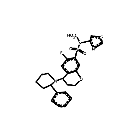 O=C(O)N(c1cscn1)S(=O)(=O)c1cc2c(cc1F)C(N1CCCCC1c1ccccc1)CCO2